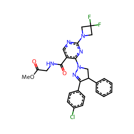 COC(=O)CNC(=O)c1cnc(N2CC(F)(F)C2)nc1N1CC(c2ccccc2)C(c2ccc(Cl)cc2)=N1